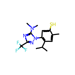 Cc1cc(C(C)C)c(-n2nc(C(F)(F)F)nc2N(C)C)cc1S